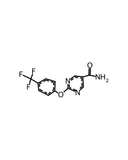 NC(=O)c1cnc(Oc2ccc(C(F)(F)F)cc2)nc1